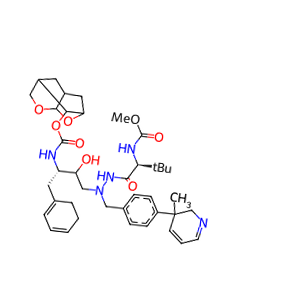 COC(=O)N[C@H](C(=O)NN(Cc1ccc(C2(C)C=CC=NC2)cc1)CC(O)[C@H](CC1=CC=CCC1)NC(=O)OC1C2COC3OC1CC3C2)C(C)(C)C